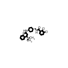 CN(C)c1cc(N[C@H]2CC[C@@H](CNC(=O)c3cccc(Cl)c3Cl)CC2)nc2ccccc12